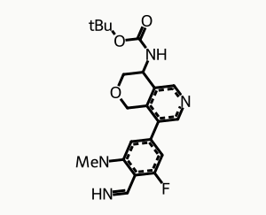 CNc1cc(-c2cncc3c2COCC3NC(=O)OC(C)(C)C)cc(F)c1C=N